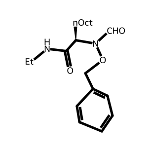 CCCCCCCC[C@H](C(=O)NCC)N(C=O)OCc1ccccc1